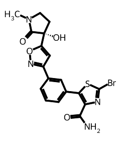 CN1CC[C@@](O)(c2cc(-c3cccc(-c4sc(Br)nc4C(N)=O)c3)no2)C1=O